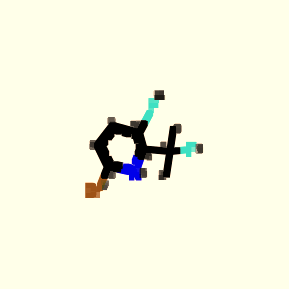 CC(C)(F)c1nc(Br)ccc1F